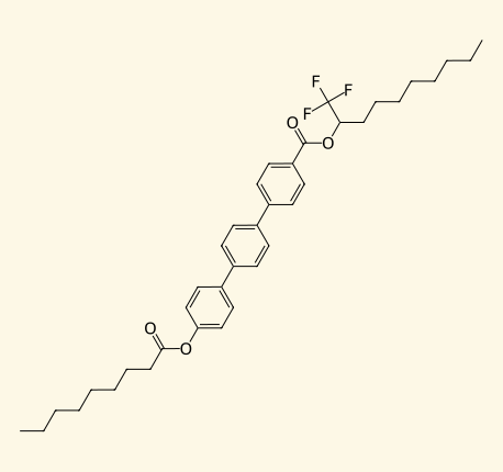 CCCCCCCCC(=O)Oc1ccc(-c2ccc(-c3ccc(C(=O)OC(CCCCCCCC)C(F)(F)F)cc3)cc2)cc1